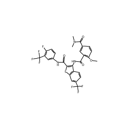 COc1ccc(C(=O)N(C)C)cc1C(=O)Nc1c(C(=O)Nc2ccc(F)c(C(F)(F)F)c2)sc2cc(C(F)(F)F)ccc12